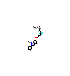 CC(=O)OCCCC(F)(F)CCCOc1ccc2cc(-c3ccccc3)n(C(C)C)c2c1